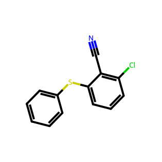 N#Cc1c(Cl)cccc1Sc1ccccc1